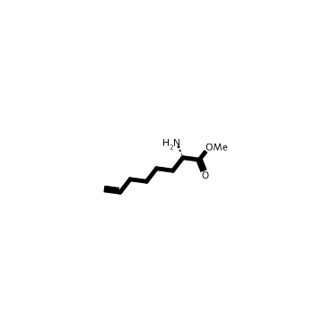 C=CCCCC[C@H](N)C(=O)OC